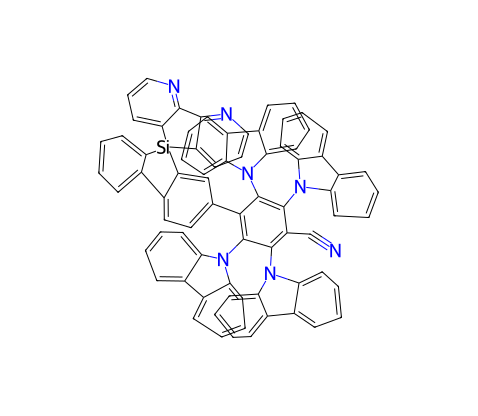 N#Cc1c(-n2c3ccccc3c3ccccc32)c(-n2c3ccccc3c3ccccc32)c(-c2ccc3c(c2)[Si]2(c4ccccc4-3)c3cccnc3-c3ncccc32)c(-n2c3ccccc3c3ccccc32)c1-n1c2ccccc2c2ccccc21